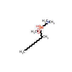 CCCCCCCCCCCCCCCC(C)CCC(COP(O)OCCCCN(C)C)OC(C)=O